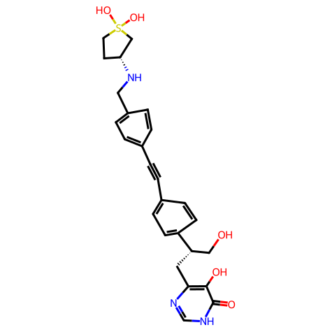 O=c1[nH]cnc(C[C@@H](CO)c2ccc(C#Cc3ccc(CN[C@@H]4CCS(O)(O)C4)cc3)cc2)c1O